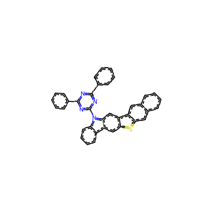 c1ccc(-c2nc(-c3ccccc3)nc(-n3c4ccccc4c4cc5sc6cc7ccccc7cc6c5cc43)n2)cc1